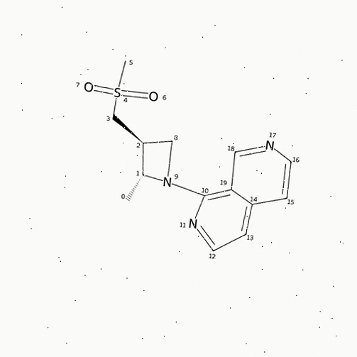 C[C@@H]1[C@@H](CS(C)(=O)=O)CN1c1nccc2ccncc12